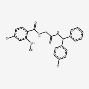 O=C(CNC(=O)c1ccc(Cl)cc1NO)NC(c1ccccc1)c1ccc(Cl)cc1